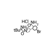 CC(C)(C)[C@H](N)C(=O)N1CCC(c2cc(Br)ccc2C(N)=O)CC1.Cl